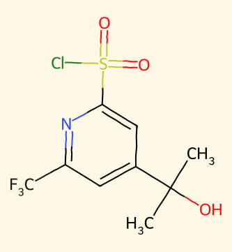 CC(C)(O)c1cc(C(F)(F)F)nc(S(=O)(=O)Cl)c1